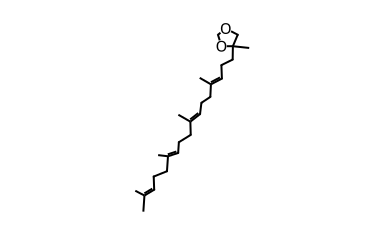 CC(C)=CCC/C(C)=C/CC/C(C)=C/CC/C(C)=C/CCC1(C)COCO1